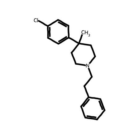 CC1(c2ccc(Cl)cc2)CCN(CCc2ccccc2)CC1